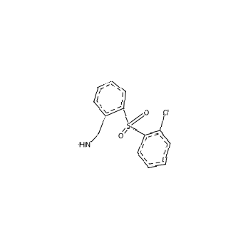 [NH]Cc1ccccc1S(=O)(=O)c1ccccc1Cl